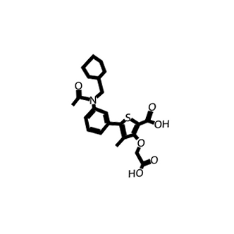 CC(=O)N(CC1CCCCC1)c1cccc(-c2sc(C(=O)O)c(OCC(=O)O)c2C)c1